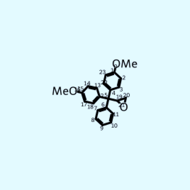 COc1ccc(C(c2ccccc2)(c2ccc(OC)cc2)C2CO2)cc1